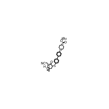 CC1(CC(Sc2ccc(-c3ccc(N4CCN(C(=O)OC(C)(C)C)CC4)cc3)cc2)C(=O)NCC#N)CC1